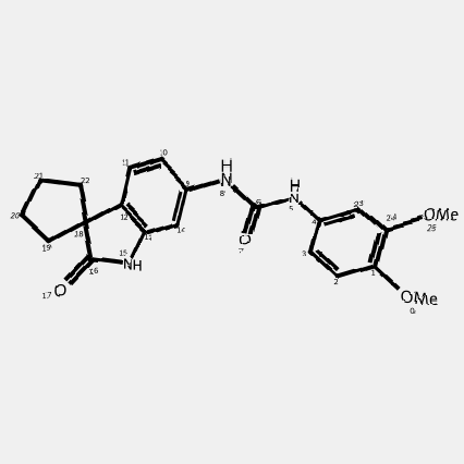 COc1ccc(NC(=O)Nc2ccc3c(c2)NC(=O)C32CCCC2)cc1OC